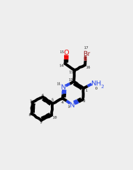 Nc1cnc(-c2ccccc2)nc1C(C=O)CBr